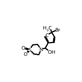 CC1(Br)C=CC(C(O)N2CCS(=O)(=O)CC2)=CC1